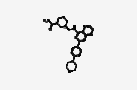 NC(=O)N1CCC[C@@H](CNc2nc(-c3ccc(N4CCOCC4)cc3)cc3nccnc23)C1